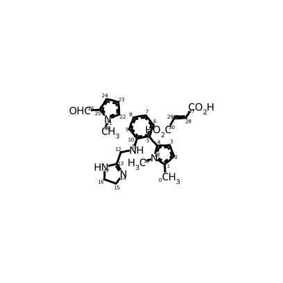 Cc1ccc(-c2ccccc2NCC2=NCCN2)n1C.Cn1cccc1C=O.O=C(O)C=CC(=O)O